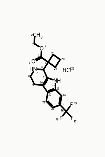 CCOC(=O)C1(C2NCCc3c2[nH]c2cc(C(F)(F)F)ccc32)CCC1.Cl